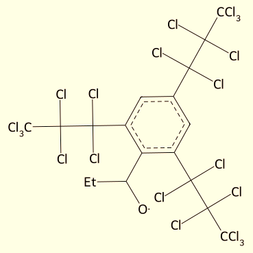 CCC([O])c1c(C(Cl)(Cl)C(Cl)(Cl)C(Cl)(Cl)Cl)cc(C(Cl)(Cl)C(Cl)(Cl)C(Cl)(Cl)Cl)cc1C(Cl)(Cl)C(Cl)(Cl)C(Cl)(Cl)Cl